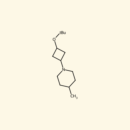 CC1CCN(C2CC(OC(C)(C)C)C2)CC1